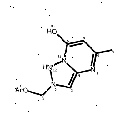 CC(=O)OCN1C=C2N=C(C)C=C(O)N2N1